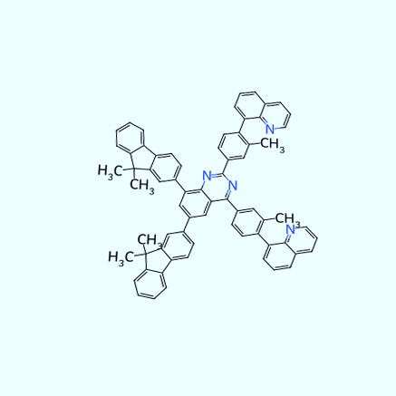 Cc1cc(-c2nc(-c3ccc(-c4cccc5cccnc45)c(C)c3)c3cc(-c4ccc5c(c4)C(C)(C)c4ccccc4-5)cc(-c4ccc5c(c4)C(C)(C)c4ccccc4-5)c3n2)ccc1-c1cccc2cccnc12